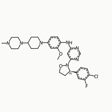 COc1cc(N2CCC(N3CCN(C)CC3)CC2)ccc1Nc1cc(N2OCC[C@@H]2c2ccc(Cl)c(F)c2)ncn1